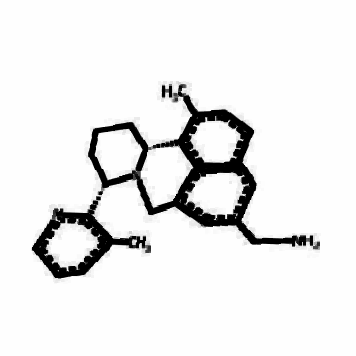 Cc1cccnc1[C@H]1CCC[C@@H](c2ncccc2C)N1Cc1cccc(CN)c1